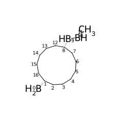 B[C@H]1CCCCCC[C@@H](BBC)CCCCC1